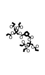 C=CC(=O)OCC(COC(=O)C=C)(COC(=O)C=C)COC(=O)c1cccc(C(=O)OCC(COC(=O)C=C)(COC(=O)C=C)COC(=O)C=C)c1